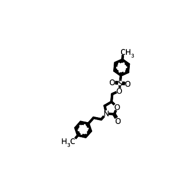 Cc1ccc(CCN2CC(COS(=O)(=O)c3ccc(C)cc3)OC2=O)cc1